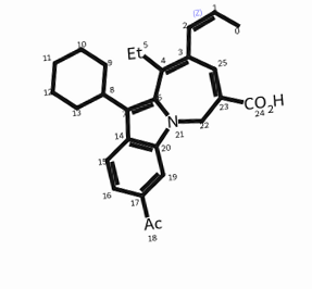 C/C=C\C1=C(CC)c2c(C3CCCCC3)c3ccc(C(C)=O)cc3n2CC(C(=O)O)=C1